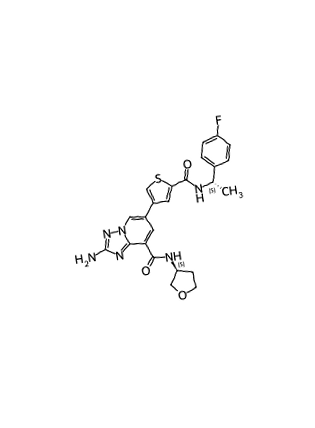 C[C@H](NC(=O)c1cc(-c2cc(C(=O)N[C@H]3CCOC3)c3nc(N)nn3c2)cs1)c1ccc(F)cc1